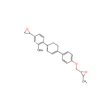 COc1cc(C2CO2)ccc1C1CC=C(c2ccc(OCC3OC3C)cc2)CC1